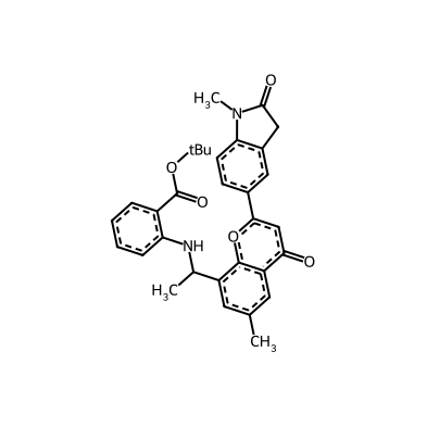 Cc1cc(C(C)Nc2ccccc2C(=O)OC(C)(C)C)c2oc(-c3ccc4c(c3)CC(=O)N4C)cc(=O)c2c1